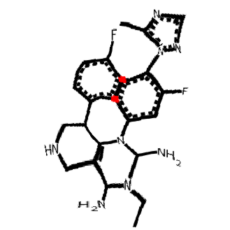 CCN1C(N)C2=C(C(c3ccc(F)cc3)CNC2)N(c2ccc(-n3ncnc3C)c(F)c2)C1N